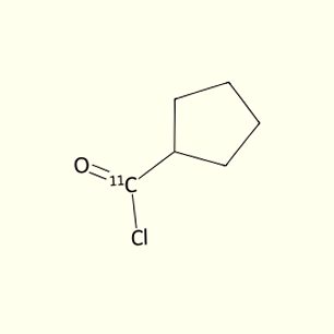 O=[11C](Cl)C1CCCC1